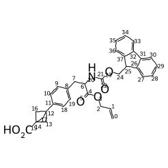 C=CCOC(=O)C(Cc1ccc(C23CC(C(=O)O)(C2)C3)cc1)NC(=O)OCC1c2ccccc2-c2ccccc21